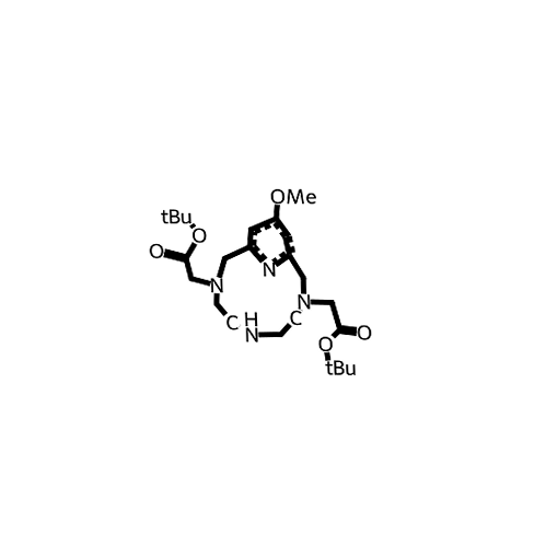 COc1cc2nc(c1)CN(CC(=O)OC(C)(C)C)CCNCCN(CC(=O)OC(C)(C)C)C2